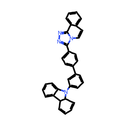 C1=CC2c3ccccc3N(c3cccc(-c4ccc(-c5nnc6c7ccccc7ccn56)cc4)c3)C2C=C1